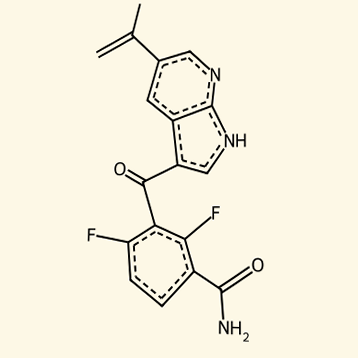 C=C(C)c1cnc2[nH]cc(C(=O)c3c(F)ccc(C(N)=O)c3F)c2c1